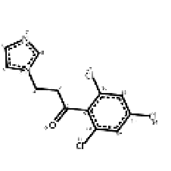 O=C(CCn1ccnc1)c1c(Cl)cc(Cl)cc1Cl